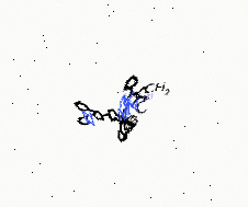 C=Cc1c(/C=C\C)nc(-n2c3ccc(-c4ccc5c(c4)c4ccccc4n5-c4ccccn4)cc3c3c4ccccc4ccc32)nc1-c1ccccc1